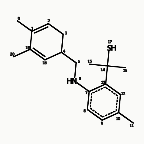 CC1=CCC(CNc2ccc(C)cc2C(C)(C)S)C=C1C